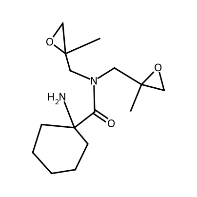 CC1(CN(CC2(C)CO2)C(=O)C2(N)CCCCC2)CO1